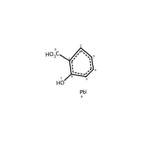 O=C(O)c1ccccc1O.[Pb]